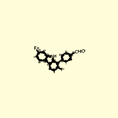 O=Cc1ccc(-c2c(F)ccc3c2[nH]c2cc(F)ccc23)cc1